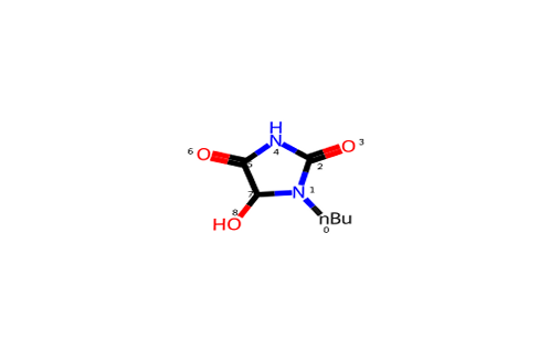 CCCCN1C(=O)NC(=O)C1O